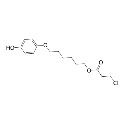 O=C(CCCl)OCCCCCCOc1ccc(O)cc1